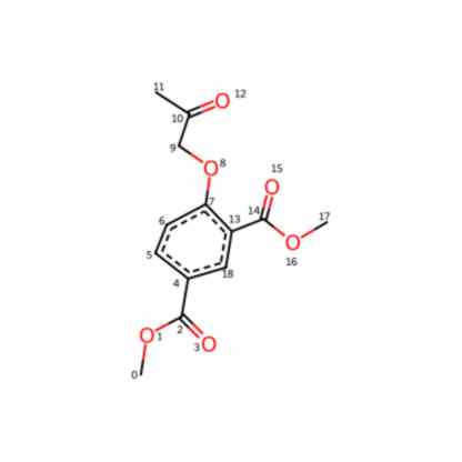 COC(=O)c1ccc(OCC(C)=O)c(C(=O)OC)c1